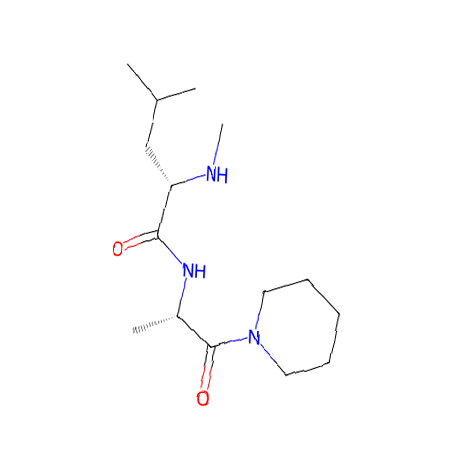 CN[C@@H](CC(C)C)C(=O)N[C@@H](C)C(=O)N1CCCCC1